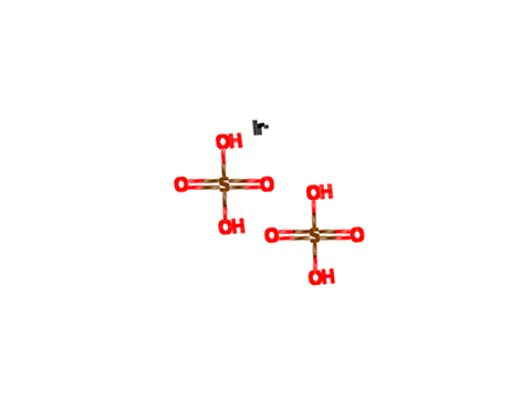 O=S(=O)(O)O.O=S(=O)(O)O.[Ir]